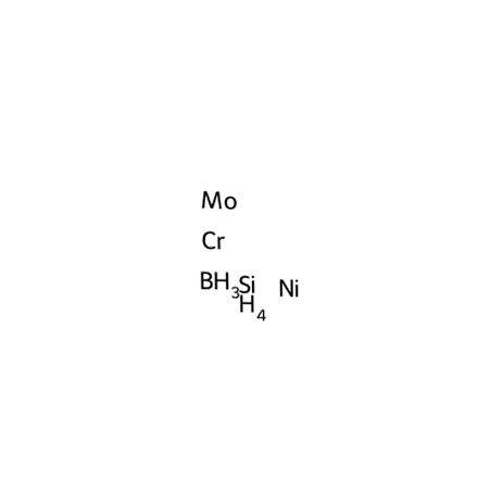 B.[Cr].[Mo].[Ni].[SiH4]